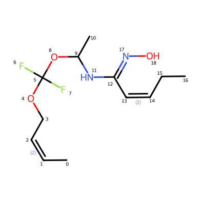 C/C=C\COC(F)(F)OC(C)NC(/C=C\CC)=NO